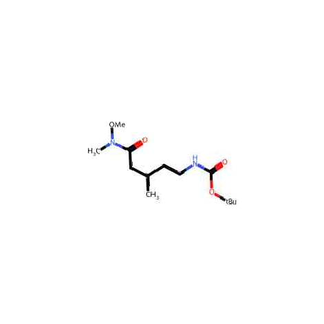 CON(C)C(=O)CC(C)CCNC(=O)OC(C)(C)C